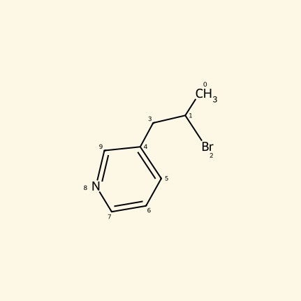 CC(Br)Cc1cccnc1